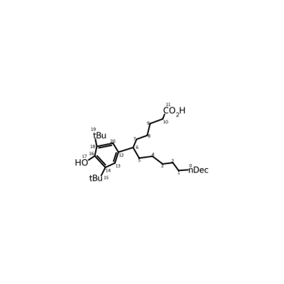 CCCCCCCCCCCCCCCC(CCCCC(=O)O)c1cc(C(C)(C)C)c(O)c(C(C)(C)C)c1